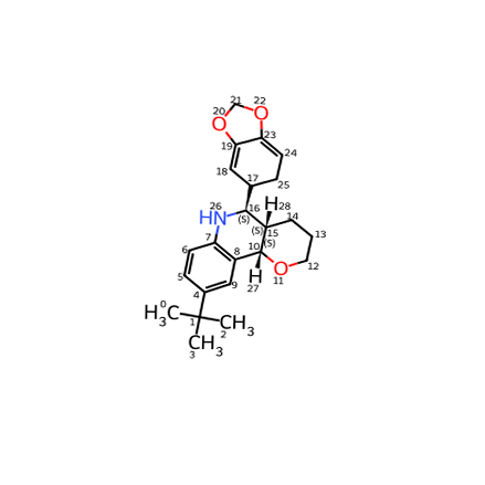 CC(C)(C)c1ccc2c(c1)[C@H]1OCCC[C@H]1[C@H](C1C=C3OCOC3=CC1)N2